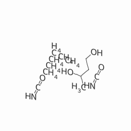 C.C.C.C.C.C.CC(O)CCO.N=C=O.N=C=O